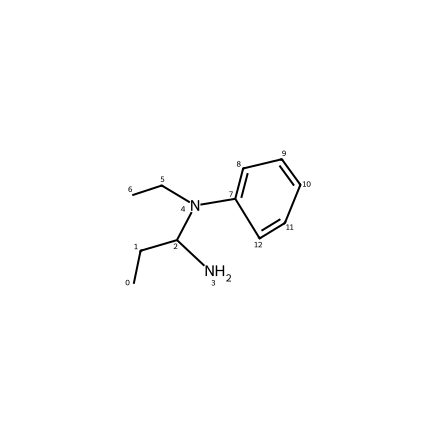 CCC(N)N(CC)c1ccccc1